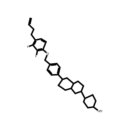 C=CCCc1ccc(OCc2ccc(C3CCC4CC(C5CCC(CCC)CC5)CCC4C3)cc2)c(F)c1F